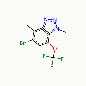 Cc1c(Br)cc(OC(F)(F)F)c2c1nnn2C